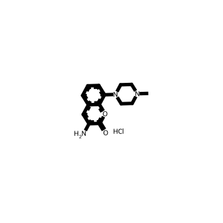 CN1CCN(c2cccc3cc(N)c(=O)oc23)CC1.Cl